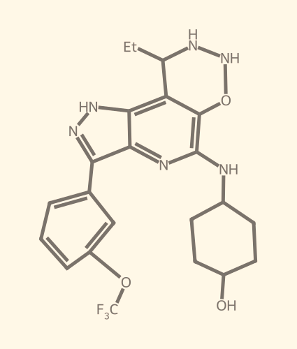 CCC1NNOc2c(NC3CCC(O)CC3)nc3c(-c4cccc(OC(F)(F)F)c4)n[nH]c3c21